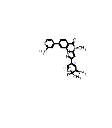 C=C/C(=C\C(=C)C(C)(C)F)c1cc2n(C)c(=O)c3ccc(-c4ccnc(C)c4)cc3n2n1